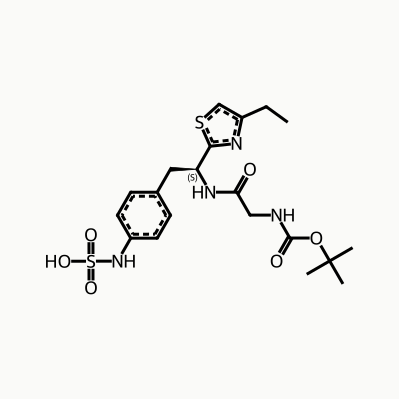 CCc1csc([C@H](Cc2ccc(NS(=O)(=O)O)cc2)NC(=O)CNC(=O)OC(C)(C)C)n1